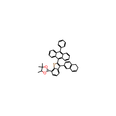 CC1OB(c2cccc3c(-c4ccc5c(c4)C=CCC5)c(-c4c5ccccc5c(-c5ccccc5)c5ccccc45)sc23)OC1(C)C